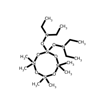 CCN(CC)O[Si]1(ON(CC)CC)O[Si](C)(C)O[Si](C)(C)O[Si](C)(C)O1